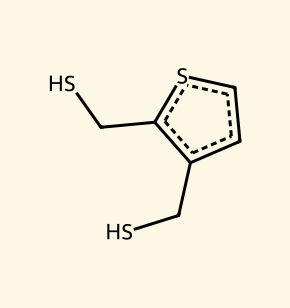 SCc1ccsc1CS